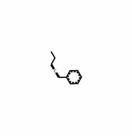 CCC=C=Cc1ccccc1